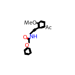 COc1ccc(C(C)=O)cc1C#CCNC(=O)COc1ccccc1